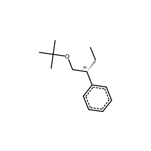 CC[C@@H](COC(C)(C)C)c1ccccc1